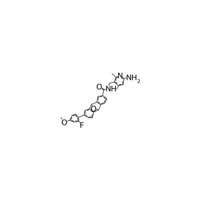 COc1ccc(-c2ccc3c(c2)C2OC3c3ccc(C(=O)NCc4c(C)cc(N)nc4C)cc32)c(F)c1